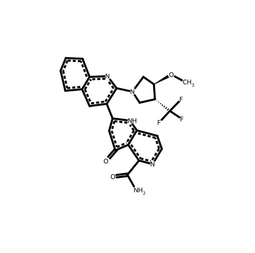 CO[C@@H]1CN(c2nc3ccccc3cc2-c2cc(=O)c3c(C(N)=O)nccc3[nH]2)C[C@H]1C(F)(F)F